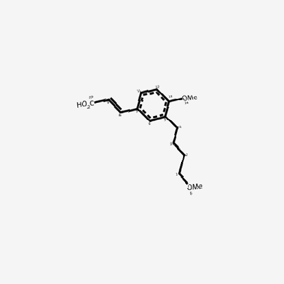 COCCCCc1cc(C=CC(=O)O)ccc1OC